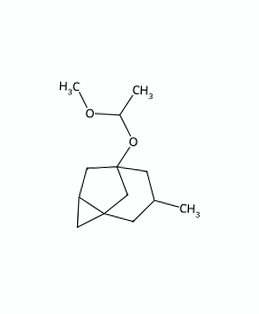 COC(C)OC12CC(C)CC3(CC3C1)C2